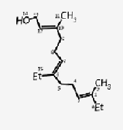 CCC(C)=CCCC(=CCCC(C)=CCO)CC